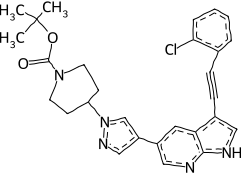 CC(C)(C)OC(=O)N1CCC(n2cc(-c3cnc4[nH]cc(C#Cc5ccccc5Cl)c4c3)cn2)CC1